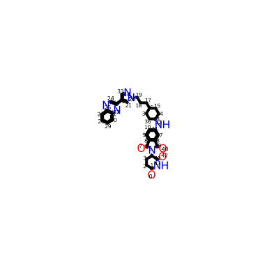 O=C1CCC(N2C(=O)c3ccc(NC4CCC(CCCn5cc(-c6cnc7ccccc7n6)cn5)CC4)cc3C2=O)C(=O)N1